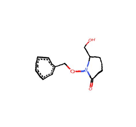 O=C1CCC(CO)N1OCc1ccccc1